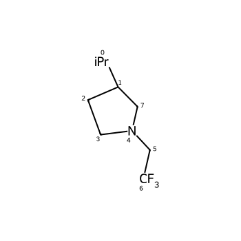 CC(C)C1CCN(CC(F)(F)F)C1